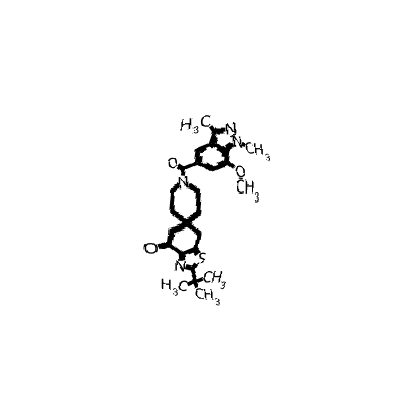 COc1cc(C(=O)N2CCC3(CC2)CC(=O)c2nc(C(C)(C)C)sc2C3)cc2c(C)nn(C)c12